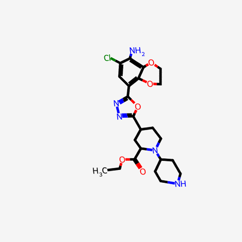 CCOC(=O)C1CC(c2nnc(-c3cc(Cl)c(N)c4c3OCCO4)o2)CCN1C1CCNCC1